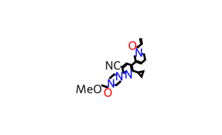 C=CC(=O)N1CCC=C(c2cc(C#N)c(N3CCN(C(=O)COC)CC3)nc2C2CC2)C1